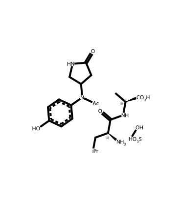 CC(=O)N(c1ccc(O)cc1)C1CNC(=O)C1.CC(C)C[C@H](N)C(=O)N[C@@H](C)C(=O)O.O=S(=O)(O)O